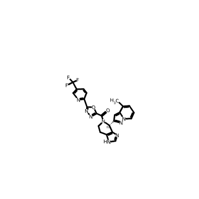 Cc1cccn2nc([C@@H]3c4nc[nH]c4CCN3C(=O)c3nnc(-c4ccc(C(F)(F)F)cn4)o3)cc12